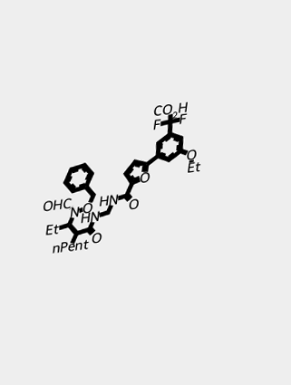 CCCCCC(C(=O)NCNC(=O)c1ccc(-c2cc(OCC)cc(C(F)(F)C(=O)O)c2)o1)C(CC)N(C=O)OCc1ccccc1